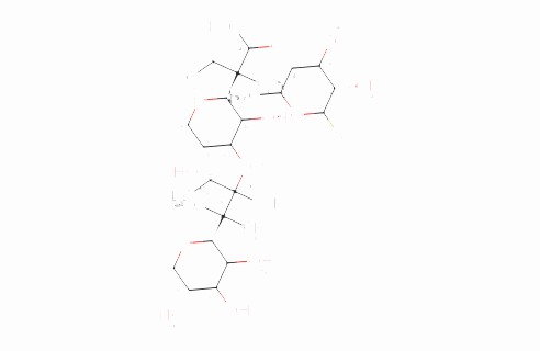 CCC(C)(C(C)O[C@H]1C(C)OC(S)[C@@H](O)C1O)[C@@H]1OC[C@@H](O)C(OC(C)(CC)C(C)(C)[C@@H]2OC[C@@H](O)C(O)C2O)C1O